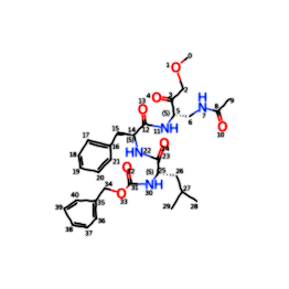 COCC(=O)[C@H](CNC(C)=O)NC(=O)[C@H](Cc1ccccc1)NC(=O)[C@H](CC(C)C)NC(=O)OCc1ccccc1